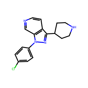 Clc1ccc(-n2nc(C3CCNCC3)c3ccncc32)cc1